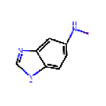 INc1ccc2[nH]cnc2c1